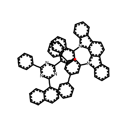 c1ccc(-c2cc(-c3ccccc3)cc(-n3c4ccccc4c4ccc5c6ccccc6n(-c6ccc(-c7nc(-c8ccccc8)nc(-c8cccc9ccccc89)n7)c7ccccc67)c5c43)c2)cc1